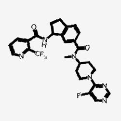 CN(C(=O)c1ccc2c(c1)C(NC(=O)c1cccnc1C(F)(F)F)CC2)C1CCN(c2ncncc2F)CC1